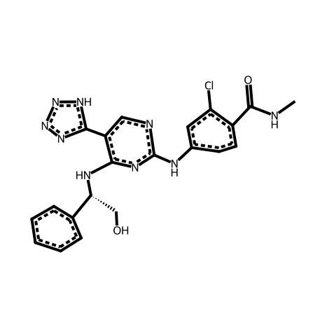 CNC(=O)c1ccc(Nc2ncc(-c3nnn[nH]3)c(N[C@H](CO)c3ccccc3)n2)cc1Cl